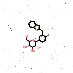 OCC1OC(c2ccc(F)c(Cc3cc4ccccc4s3)c2)[C@H](O)C(O)[C@@H]1O